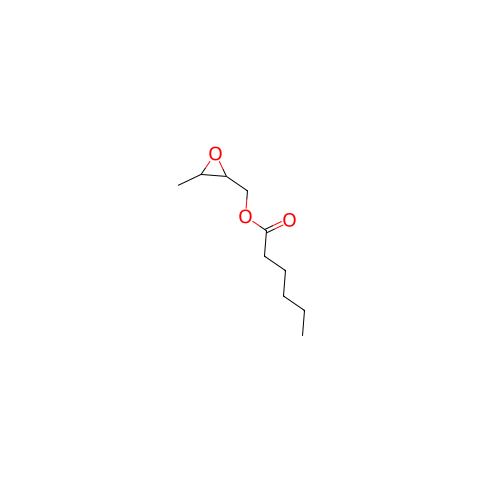 CCCCCC(=O)OCC1OC1C